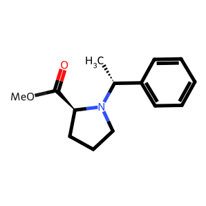 COC(=O)[C@@H]1CCCN1[C@H](C)c1ccccc1